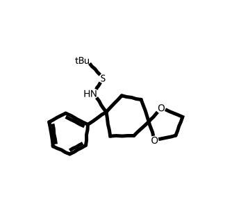 CC(C)(C)SNC1(c2ccccc2)CCC2(CC1)OCCO2